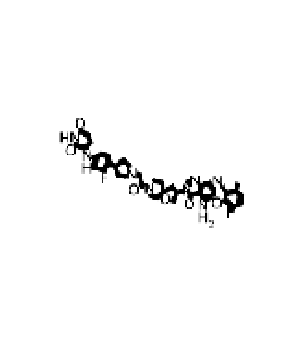 Cc1ccc(F)c(Oc2ccc3ncn(C4COC5(CCN(C(=O)CN6CCC(c7ccc(NC8CCC(=O)NC8=O)cc7F)CC6)CC5)C4)c(=O)c3c2N)c1C#N